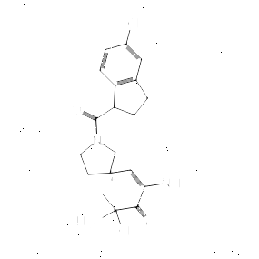 CC1(C)C[C@]2(C=C(N)C1=O)CCN(C(=O)C1CCc3cc(Cl)ccc31)C2